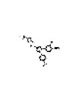 COc1ccc(-n2nc(NCC3CC(N)C3)cc2-c2ccc(C#N)c(F)c2)cc1